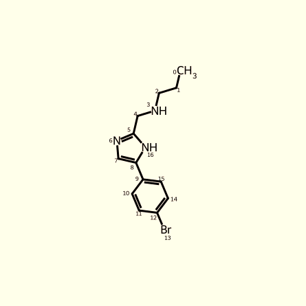 CCCNCc1ncc(-c2ccc(Br)cc2)[nH]1